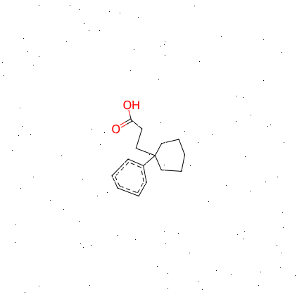 O=C(O)CCC1(c2ccccc2)CCCCC1